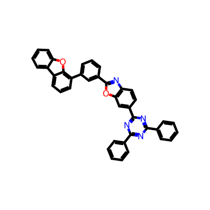 c1ccc(-c2nc(-c3ccccc3)nc(-c3ccc4nc(-c5cccc(-c6cccc7c6oc6ccccc67)c5)oc4c3)n2)cc1